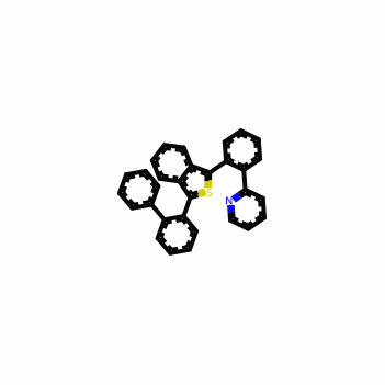 c1ccc(-c2ccccc2-c2sc(-c3ccccc3-c3ccccn3)c3ccccc23)cc1